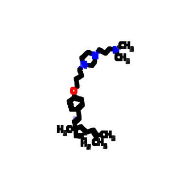 C=CC(C)(/C=C/c1ccc(OCCCCN2CCN(CCCN(C)C)CC2)cc1)CCC=C(C)C